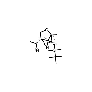 [2H]C(C)[C@@]12CO[C@@H]([C@H](C)O1)[C@@H]2O[Si](C)(C)C(C)(C)C